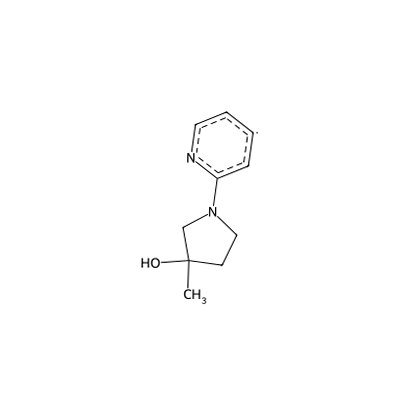 CC1(O)CCN(c2c[c]ccn2)C1